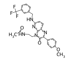 COc1ccc(-c2nc3ccc(NCc4cccc(C(F)(F)F)c4)nc3n(CCNC(C)=O)c2=O)cc1